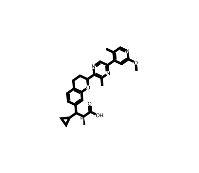 COc1cc(-c2cnc(C3CCc4ccc(C(C5CC5)[C@H](C)C(=O)O)cc4O3)c(C)n2)c(C)cn1